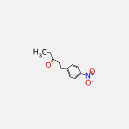 CCC(=O)CCc1ccc([N+](=O)[O-])cc1